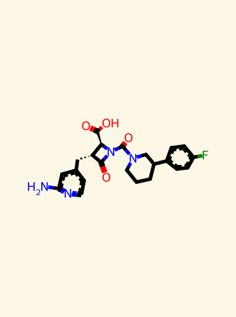 Nc1cc(C[C@H]2C(=O)N(C(=O)N3CCCC(c4ccc(F)cc4)C3)[C@@H]2C(=O)O)ccn1